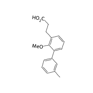 COc1c(CCC(=O)O)cccc1-c1cccc(C)c1